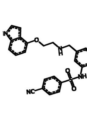 N#Cc1ccc(S(=O)(=O)Nc2cccc(CNCCOc3cccc4[nH]ccc34)c2)cc1